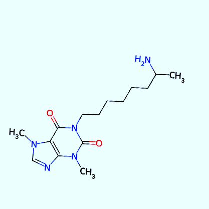 CC(N)CCCCCCn1c(=O)c2c(ncn2C)n(C)c1=O